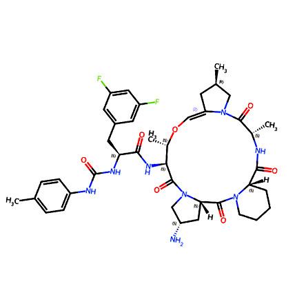 Cc1ccc(NC(=O)N[C@@H](Cc2cc(F)cc(F)c2)C(=O)N[C@@H]2C(=O)N3C[C@@H](N)C[C@H]3C(=O)N3CCCC[C@H]3C(=O)N[C@@H](C)C(=O)N3C[C@H](C)C/C3=C/O[C@H]2C)cc1